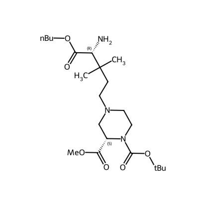 CCCCOC(=O)[C@H](N)C(C)(C)CCN1CCN(C(=O)OC(C)(C)C)[C@H](C(=O)OC)C1